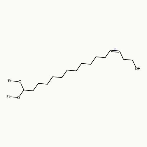 CCOC(CCCCCCCCCCC/C=C\CCO)OCC